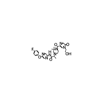 C[C@@H](C(=O)Nc1cnc(Oc2ccc(F)cc2)cn1)N1CCN(C(=O)c2cn(CCO)c(=O)cn2)C(C)(C)C1